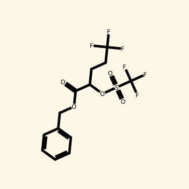 O=C(OCc1ccccc1)C(CCC(F)(F)F)OS(=O)(=O)C(F)(F)F